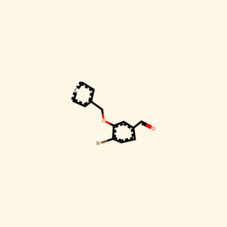 O=Cc1ccc(Br)c(OCc2ccccc2)c1